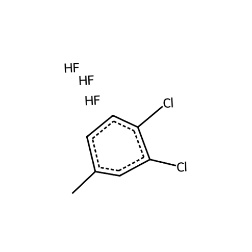 Cc1ccc(Cl)c(Cl)c1.F.F.F